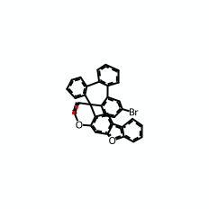 Brc1ccc2c(c1)-c1ccccc1-c1ccccc1C21c2ccccc2Oc2cc3oc4ccccc4c3cc21